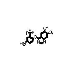 CNc1ccc(Oc2ncnc3cc(OC)c(OC)cc23)c(C(F)(F)F)c1